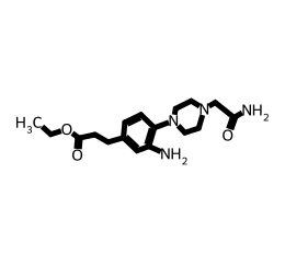 CCOC(=O)CCc1ccc(N2CCN(CC(N)=O)CC2)c(N)c1